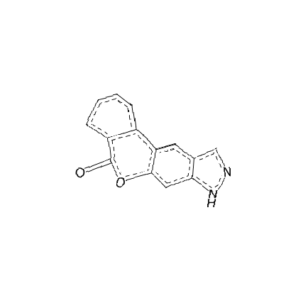 O=c1oc2cc3[nH]ncc3cc2c2ccccc12